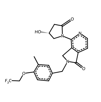 Cc1cc(CN2Cc3c(ccnc3N3C[C@H](O)CC3=O)C2=O)ccc1OCC(F)(F)F